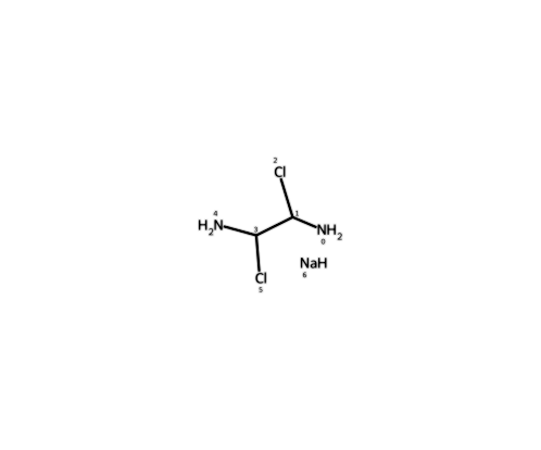 NC(Cl)C(N)Cl.[NaH]